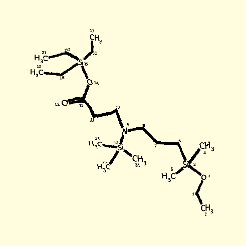 CCO[Si](C)(C)CCCN(CCC(=O)O[Si](CC)(CC)CC)[Si](C)(C)C